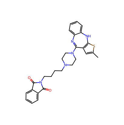 Cc1cc2c(s1)Nc1ccccc1N=C2N1CCN(CCCCN2C(=O)c3ccccc3C2=O)CC1